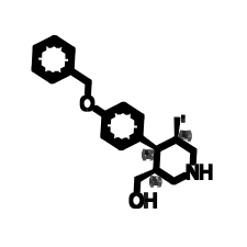 [CH][C@H]1CNC[C@@H](CO)[C@H]1c1ccc(OCc2ccccc2)cc1